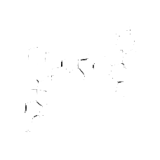 CCC(=O)NC(Cc1ccc(NC(=O)C(NC(=O)C(F)(F)c2ccc(OC)nc2)C2CCCCC2)c(F)c1)C(=O)N1CCN(C)CC1